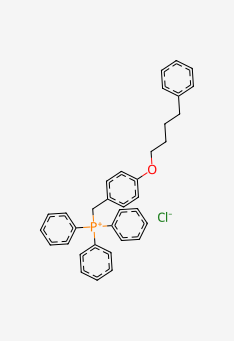 [Cl-].c1ccc(CCCCOc2ccc(C[P+](c3ccccc3)(c3ccccc3)c3ccccc3)cc2)cc1